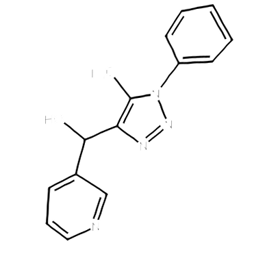 Cc1c(C(O)c2cccnc2)nnn1-c1ccccc1